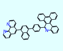 c1cnc2c(c1)cc(-c1ccc(-c3ccc(-c4nc5ccccc5c5c6ccccc6c6ccccc6c45)cc3)c3ccccc13)c1cccnc12